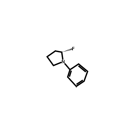 F[C@H]1CCCN1c1c[c]ccc1